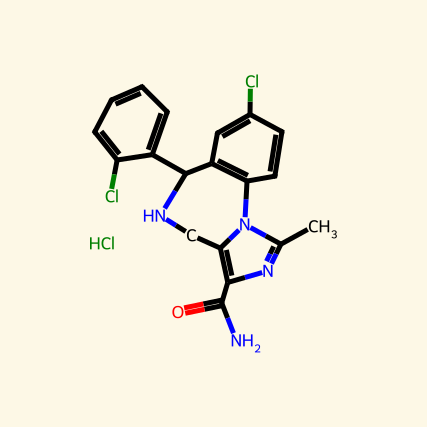 Cc1nc(C(N)=O)c2n1-c1ccc(Cl)cc1C(c1ccccc1Cl)NC2.Cl